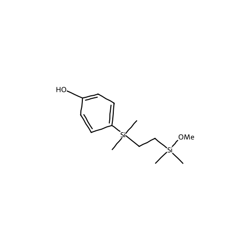 CO[Si](C)(C)CC[Si](C)(C)c1ccc(O)cc1